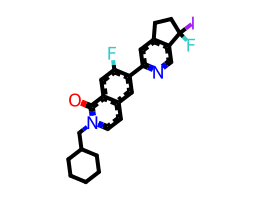 O=c1c2cc(F)c(-c3cc4c(cn3)C(F)(I)CC4)cc2ccn1CC1CCCCC1